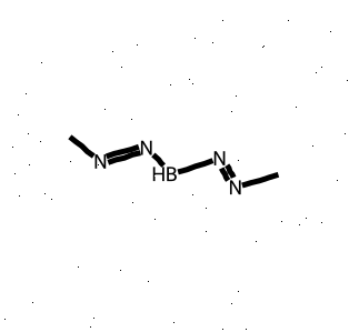 CN=NBN=NC